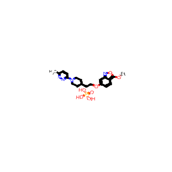 CCOc1onc2cc(OCCC3CCN(c4ccc(C)nn4)CC3)ccc12.O=P(O)(O)O